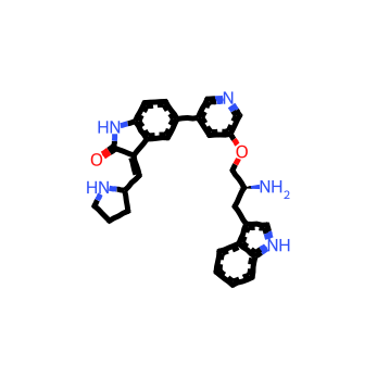 N[C@H](COc1cncc(-c2ccc3c(c2)C(=CC2CCCN2)C(=O)N3)c1)Cc1c[nH]c2ccccc12